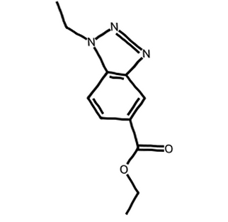 CCOC(=O)c1ccc2c(c1)nnn2CC